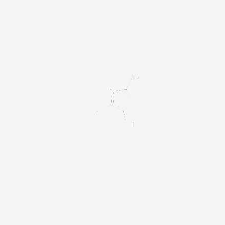 CCC(C)c1nc(C)c(C)s1